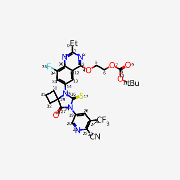 CCc1nc(OCCOC(=O)OC(C)(C)C)c2cc(N3C(=S)N(c4cnc(C#N)c(C(F)(F)F)c4)C(=O)C34CCC4)cc(F)c2n1